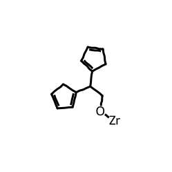 [Zr][O]CC(C1=CC=CC1)C1=CC=CC1